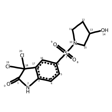 O=C1Nc2ccc(S(=O)(=O)N3CCC(O)C3)cc2C1(Cl)Cl